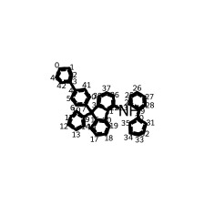 c1ccc(-c2ccc(C3(c4ccccc4)c4ccccc4-c4c(Nc5ccccc5-c5ccccc5)cccc43)cc2)cc1